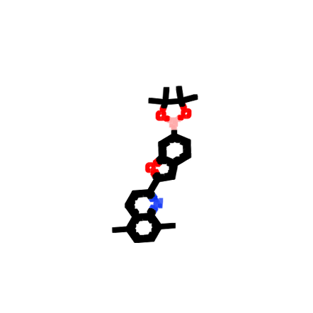 Cc1ccc(C)c2nc(-c3cc4ccc(B5OC(C)(C)C(C)(C)O5)cc4o3)ccc12